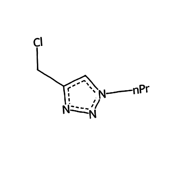 CCCn1cc(CCl)nn1